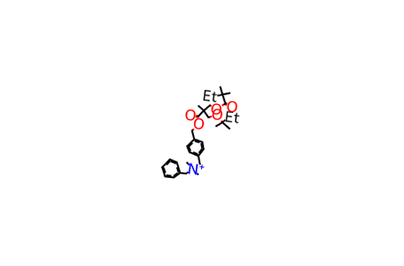 CCC(C)(C)OCC(C)(COC(=O)C(C)(C)CC)C(=O)OCc1ccc(C[N+](C)(C)Cc2ccccc2)cc1